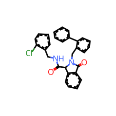 O=C(NCc1ccccc1Cl)C1c2ccccc2C(=O)N1Cc1ccccc1-c1ccccc1